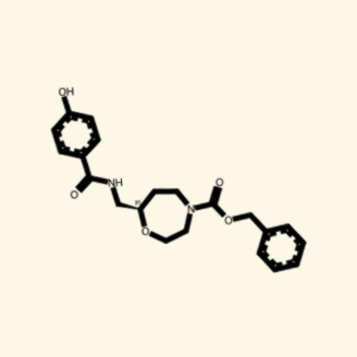 O=C(NC[C@H]1CCN(C(=O)OCc2ccccc2)CCO1)c1ccc(O)cc1